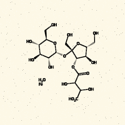 O.O=C(O)C(O)C(O)C(=O)O[C@H]1[C@H](O)[C@@H](CO)O[C@@]1(CO)O[C@H]1O[C@H](CO)[C@@H](O)[C@H](O)[C@H]1O.[Fe]